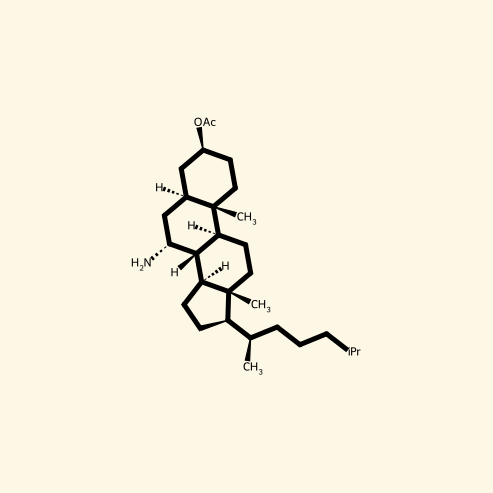 CC(=O)O[C@H]1CC[C@@]2(C)[C@H](C1)C[C@@H](N)[C@@H]1[C@@H]2CC[C@]2(C)[C@@H]([C@H](C)CCCC(C)C)CC[C@@H]12